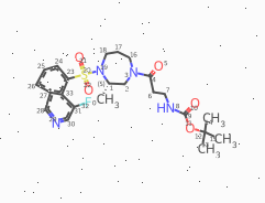 C[C@H]1CN(C(=O)CCNC(=O)OC(C)(C)C)CCCN1S(=O)(=O)c1cccc2cncc(F)c12